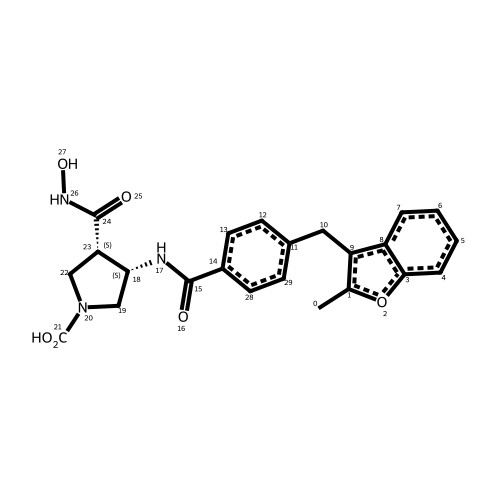 Cc1oc2ccccc2c1Cc1ccc(C(=O)N[C@@H]2CN(C(=O)O)C[C@@H]2C(=O)NO)cc1